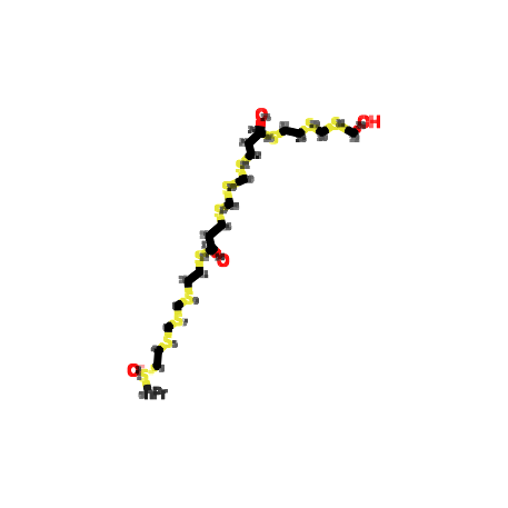 CCC[S+]([O-])CCSCSCSCCSC(=O)CCSCSCSCCC(=O)SCCSCSCO